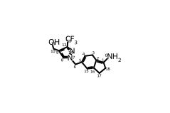 NC1=C2CC=C(Cn3cc(CO)c(C(F)(F)F)n3)C=C2CC1